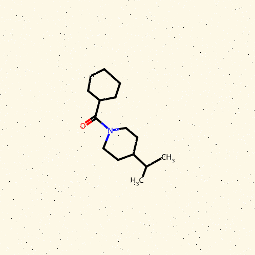 CC(C)C1CCN(C(=O)C2CCCCC2)CC1